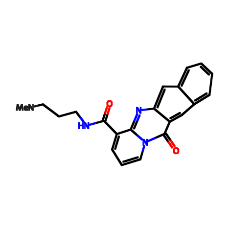 CNCCCNC(=O)c1cccn2c(=O)c3cc4ccccc4cc3nc12